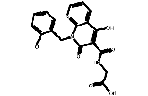 O=C(O)CNC(=O)c1c(O)c2cccnc2n(Cc2ccccc2Cl)c1=O